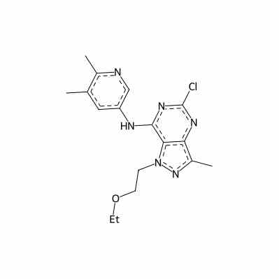 CCOCCn1nc(C)c2nc(Cl)nc(Nc3cnc(C)c(C)c3)c21